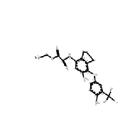 CCOC(=O)C(=O)Nc1cc(C)c(Oc2ccc(O)c(C(F)(F)F)c2)c2c1CCC2